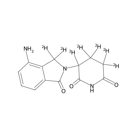 [2H]C1([2H])c2c(N)cccc2C(=O)N1C1([2H])C(=O)NC(=O)C([2H])([2H])C1([2H])[2H]